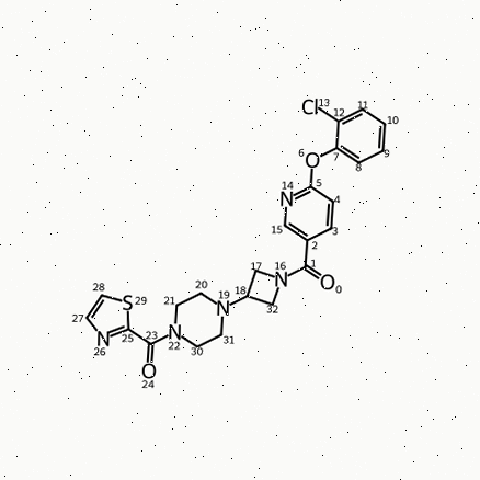 O=C(c1ccc(Oc2ccccc2Cl)nc1)N1CC(N2CCN(C(=O)c3nccs3)CC2)C1